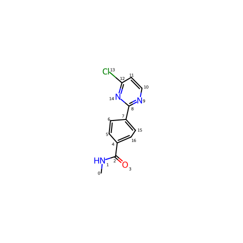 CNC(=O)c1ccc(-c2nccc(Cl)n2)cc1